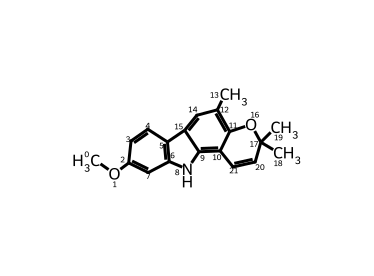 COc1ccc2c(c1)[nH]c1c3c(c(C)cc12)OC(C)(C)C=C3